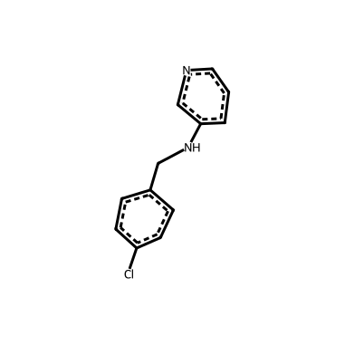 Clc1ccc(CNc2cccnc2)cc1